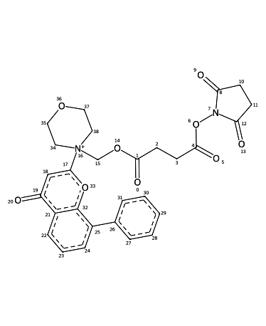 O=C(CCC(=O)ON1C(=O)CCC1=O)OC[N+]1(c2cc(=O)c3cccc(-c4ccccc4)c3o2)CCOCC1